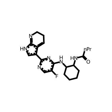 CCCC(=O)NC1CCCCC1Nc1nc(-c2c[nH]c3c2=CCCN=3)ncc1F